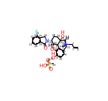 C=CCN1CC[C@]23c4c5ccc(O)c4O[C@H]2[C@H](N2Cc4c(F)cccc4C2=O)CCC3(O)[C@H]1C5.CS(=O)(=O)O